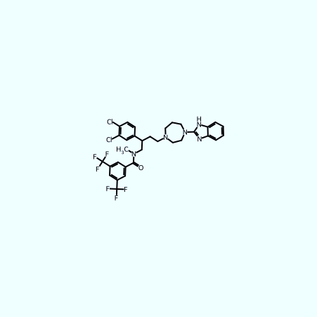 CN(CC(CCN1CCCN(c2nc3ccccc3[nH]2)CC1)c1ccc(Cl)c(Cl)c1)C(=O)c1cc(C(F)(F)F)cc(C(F)(F)F)c1